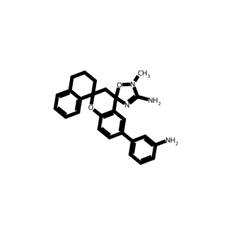 CN1OC2(CC3(CCCc4ccccc43)Oc3ccc(-c4cccc(N)c4)cc32)N=C1N